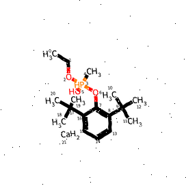 CCO[PH](C)(O)Oc1c(C(C)(C)C)cccc1C(C)(C)C.[CaH2]